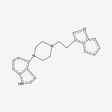 c1cc(N2CCN(CCc3coc4ccccc34)CC2)c2cc[nH]c2c1